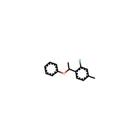 Cc1ccc(C(C)Oc2ccccc2)c(Cl)c1